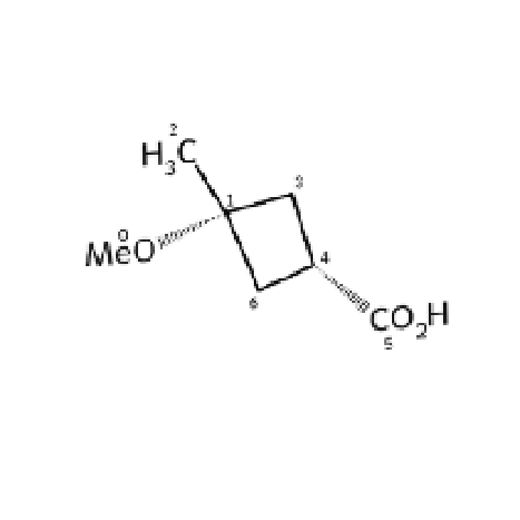 CO[C@]1(C)C[C@H](C(=O)O)C1